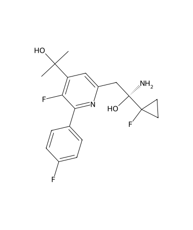 CC(C)(O)c1cc(C[C@](N)(O)C2(F)CC2)nc(-c2ccc(F)cc2)c1F